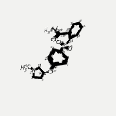 CN1CC[C@H](Oc2ccc(S(=O)(=O)c3ccccc3C(N)=O)cc2)C1